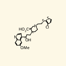 COc1ccc2nccc([C@@H](O)CC[C@@H]3CCN(CCSc4sccc4Cl)C[C@@H]3C(=O)O)c2c1